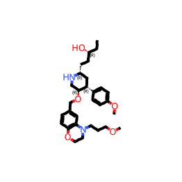 CC[C@@H](O)CC[C@@H]1C[C@H](c2ccc(OC)cc2)[C@@H](OCc2ccc3c(c2)N(CCCOC)CCO3)CN1